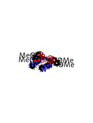 COc1ccc2c(c1OC)CCOC2(CN1CCN(c2ccccn2)CC1)OC(=O)/C=C/C(=O)OC1(CN2CCN(c3ccccn3)CC2)OCCc2c1ccc(OC)c2OC